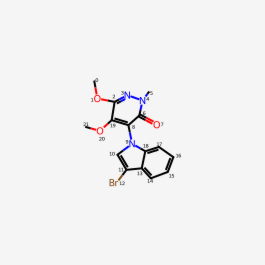 COc1nn(C)c(=O)c(-n2cc(Br)c3ccccc32)c1OC